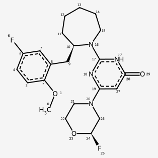 COc1ccc(F)cc1C[C@H]1CCCCCN1c1nc(N2CCO[C@H](F)C2)cc(=O)[nH]1